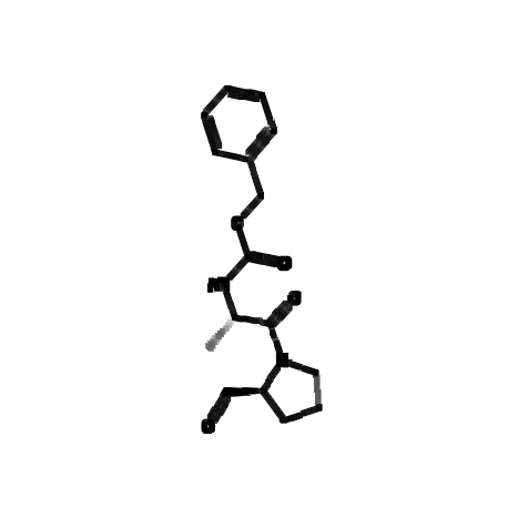 C[C@H](NC(=O)OCc1ccccc1)C(=O)N1CCC[C@H]1C=O